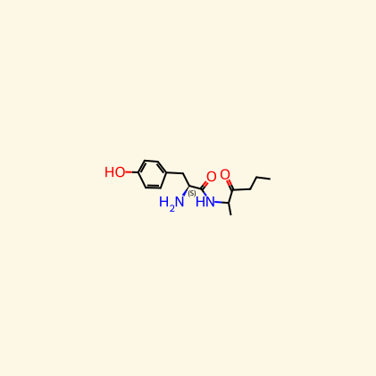 CCCC(=O)C(C)NC(=O)[C@@H](N)Cc1ccc(O)cc1